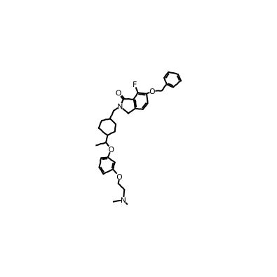 CC(Oc1cccc(OCCN(C)C)c1)C1CCC(CN2Cc3ccc(OCc4ccccc4)c(F)c3C2=O)CC1